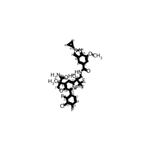 COc1cc(C(=O)NCC(O)(c2cc3c(c(-c4ccc(F)c(Cl)c4F)n2)OC[C@]3(C)C(N)=O)C(F)(F)F)cc2cn(C3CC3)nc12